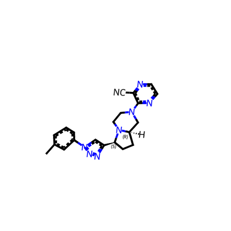 Cc1cccc(-n2cc([C@@H]3CC[C@@H]4CN(c5nccnc5C#N)CCN43)nn2)c1